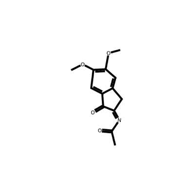 COc1cc2c(cc1OC)C(=O)C(=NC(C)=O)C2